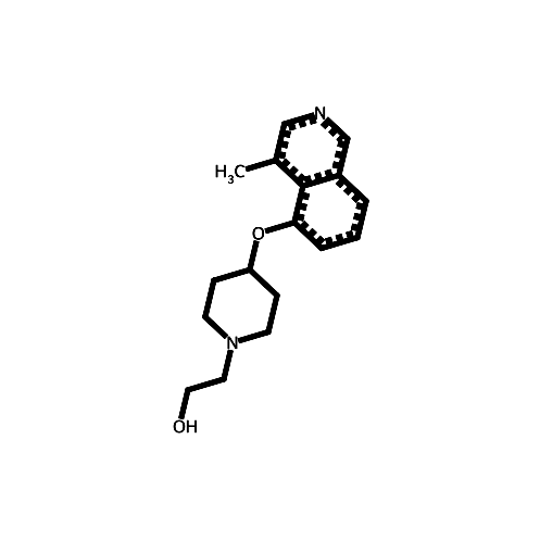 Cc1cncc2cccc(OC3CCN(CCO)CC3)c12